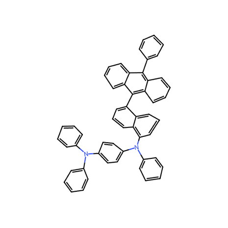 c1ccc(-c2c3ccccc3c(-c3cccc4c(N(c5ccccc5)c5ccc(N(c6ccccc6)c6ccccc6)cc5)cccc34)c3ccccc23)cc1